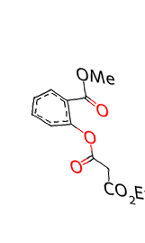 CCOC(=O)CC(=O)Oc1ccccc1C(=O)OC